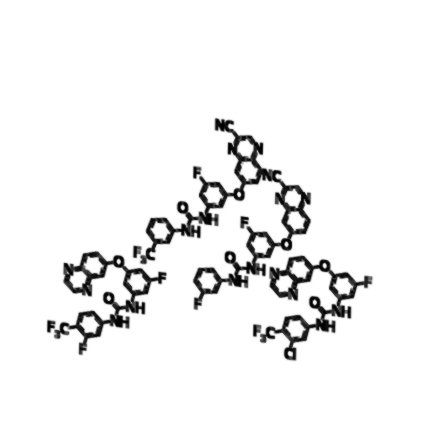 N#Cc1cnc2ccc(Oc3cc(F)cc(NC(=O)Nc4cccc(C(F)(F)F)c4)c3)cc2n1.N#Cc1cnc2ccc(Oc3cc(F)cc(NC(=O)Nc4cccc(F)c4)c3)cc2n1.O=C(Nc1cc(F)cc(Oc2ccc3nccnc3c2)c1)Nc1ccc(C(F)(F)F)c(Cl)c1.O=C(Nc1cc(F)cc(Oc2ccc3nccnc3c2)c1)Nc1ccc(C(F)(F)F)c(F)c1